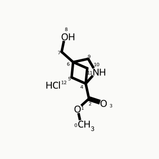 COC(=O)C12CC(CO)(CN1)C2.Cl